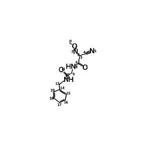 CON=C(C#N)C(=O)NCC(=O)NCc1ccccc1